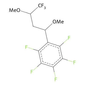 COC(CC(OC)C(F)(F)F)c1c(F)c(F)c(F)c(F)c1F